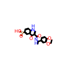 CC(NC(=O)c1c[nH]c2ccc(S(=O)O)cc2c1=O)c1ccc2c(c1)OCCO2